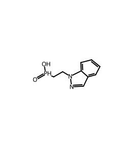 O=[PH](O)CCn1ncc2ccccc21